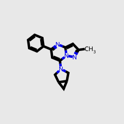 Cc1cc2nc(-c3ccccc3)cc(N3CC4CC4C3)n2n1